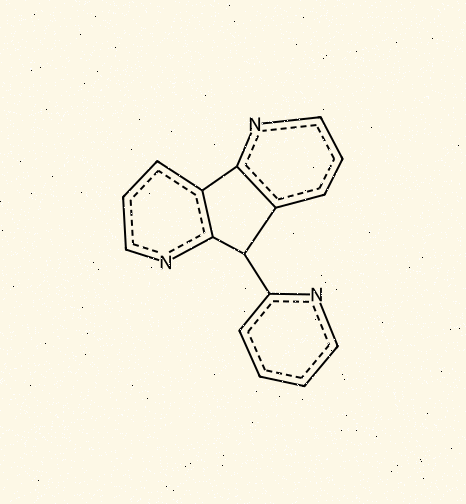 c1ccc(C2c3cccnc3-c3cccnc32)nc1